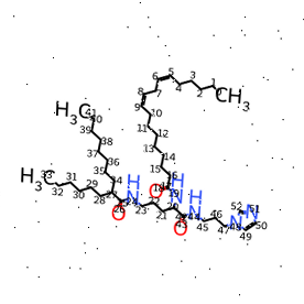 CCCCC/C=C\C/C=C\CCCCCCCC(=O)NC(CCCNC(=O)C(CCCCCC)CCCCCCCC)C(=O)NCCCn1ccnc1